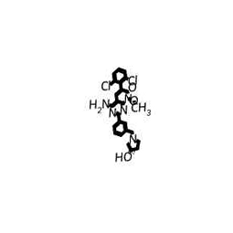 COn1c(=O)c(-c2c(Cl)cccc2Cl)cc2c(N)nc(-c3cccc(CN4CC[C@@H](O)C4)c3)nc21